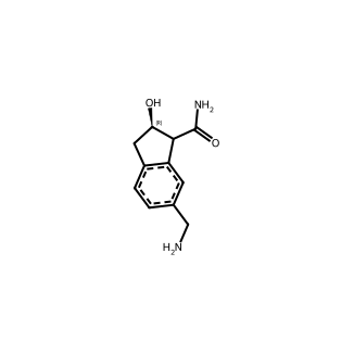 NCc1ccc2c(c1)C(C(N)=O)[C@H](O)C2